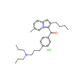 CCCCc1cc2ccc(C)cn2c1C(=O)c1ccc(CCCN(CCC)CCC)cc1.Cl